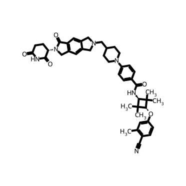 Cc1cc(O[C@H]2C(C)(C)[C@H](NC(=O)c3ccc(N4CCC(CN5Cc6cc7c(cc6C5)C(=O)N([C@H]5CCC(=O)NC5=O)C7)CC4)cc3)C2(C)C)ccc1C#N